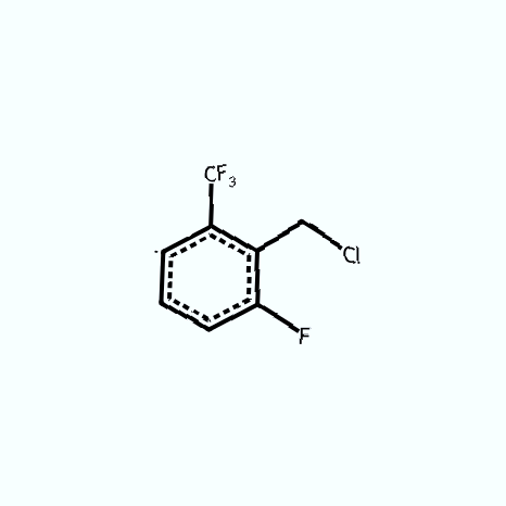 Fc1cc[c]c(C(F)(F)F)c1CCl